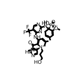 CNC(=O)C1=C(Nc2nc(NC3(P(=O)([O-])O)CC=C(C)C=C3OC)ncc2C(F)(F)F)C=C(C)C[N+]1(CCCO)c1cn[nH]c1